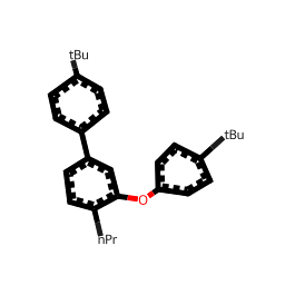 CCCc1ccc(-c2ccc(C(C)(C)C)cc2)cc1Oc1ccc(C(C)(C)C)cc1